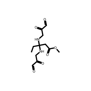 CCC(CC(=O)OC)(NCC(=O)C=O)NCC(=O)C=O